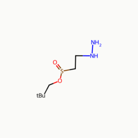 CC(C)(C)COS(=O)CCNN